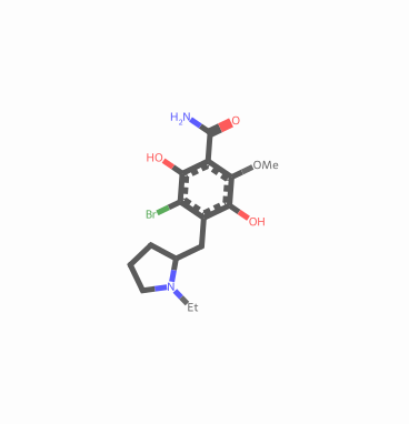 CCN1CCCC1Cc1c(O)c(OC)c(C(N)=O)c(O)c1Br